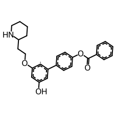 O=C(Oc1ccc(-c2[c]c(OCCC3CCCCN3)cc(O)c2)cc1)c1ccccc1